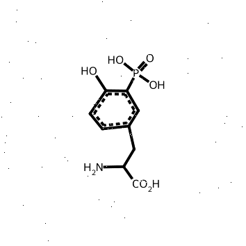 NC(Cc1ccc(O)c(P(=O)(O)O)c1)C(=O)O